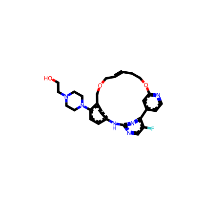 OCCN1CCN(c2ccc3cc2COC/C=C/CCOc2cc(ccn2)-c2nc(ncc2F)N3)CC1